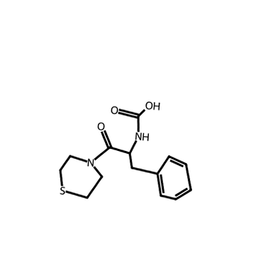 O=C(O)NC(Cc1ccccc1)C(=O)N1CCSCC1